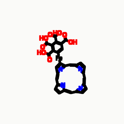 O=C(O)c1c[c]([Fe][C]2=CC3=CC4=NC(=CC5=NC(=CC6=NC(=CC2=N3)C=C6)C=C5)C=C4)c(C(=O)O)c(C(=O)O)c1C(=O)O